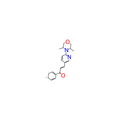 CC1COCC(C)N1c1ccc(C=CC(=O)C2=CC[CH]C=C2)cn1